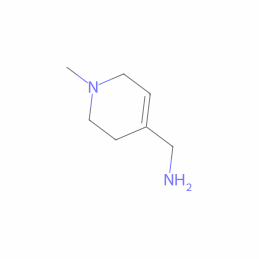 CN1CC=C(CN)CC1